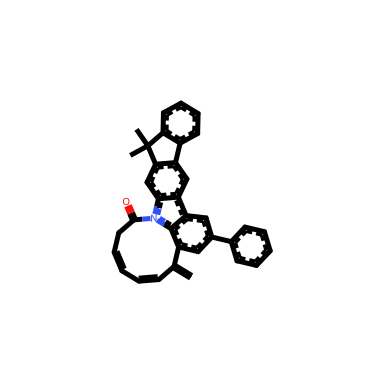 C=C1/C=C\C=C/CC(=O)n2c3cc4c(cc3c3cc(-c5ccccc5)cc1c32)-c1ccccc1C4(C)C